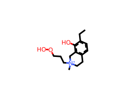 CCc1ccc2c(c1O)C[N+](C)(CCCOO)CC2